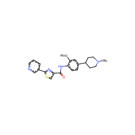 COc1cc(C2CCN(C(C)(C)C)CC2)ccc1NC(=O)c1csc(-c2cccnc2)n1